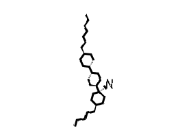 CCCCCCC[C@H]1CC[C@H]([C@H]2CC[C@H]([C@]3(C#N)CC[C@H](CCCCC)CC3)CC2)CC1